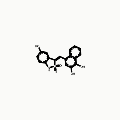 O=S1(=O)Nc2ccc(O)cc2C1=Cc1cc(O)c(O)c2ccccc12